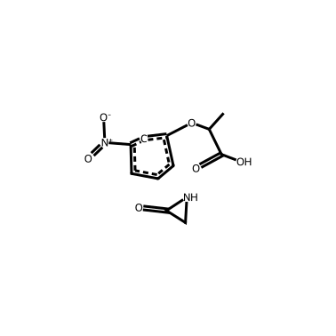 CC(Oc1cccc([N+](=O)[O-])c1)C(=O)O.O=C1CN1